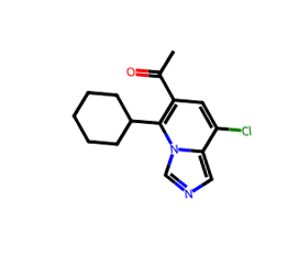 CC(=O)c1cc(Cl)c2cncn2c1C1CCCCC1